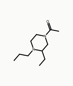 CCCN1CCN(C(C)=O)CC1CC